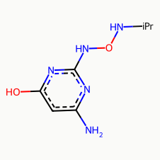 CC(C)NONc1nc(N)cc(O)n1